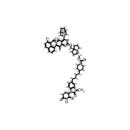 C#Cc1c(F)ccc2cccc(-c3ncc4c(N5CC6CCC(C5)N6)nc(OC[C@@]56CCCN5[C@H](COC(=O)N5CCC(CCCCc7ccc8c(c7)n(C)c(=O)n8C7CCC(=O)NC7=O)CC5)CC6)nc4c3F)c12